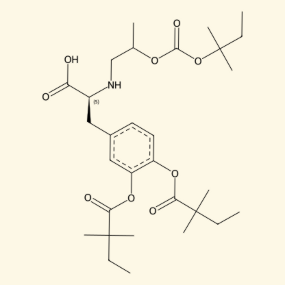 CCC(C)(C)OC(=O)OC(C)CN[C@@H](Cc1ccc(OC(=O)C(C)(C)CC)c(OC(=O)C(C)(C)CC)c1)C(=O)O